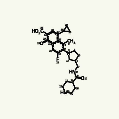 Cc1c(N2CCC(CNC(=O)C3CCNCC3)C2)c(F)cn2c(=O)c(C(=O)O)cc(C3CC3)c12